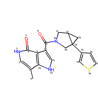 Cc1c[nH]c(=O)c2c(C(=O)N3CC4CC4(c4ccsc4)C3)c[nH]c12